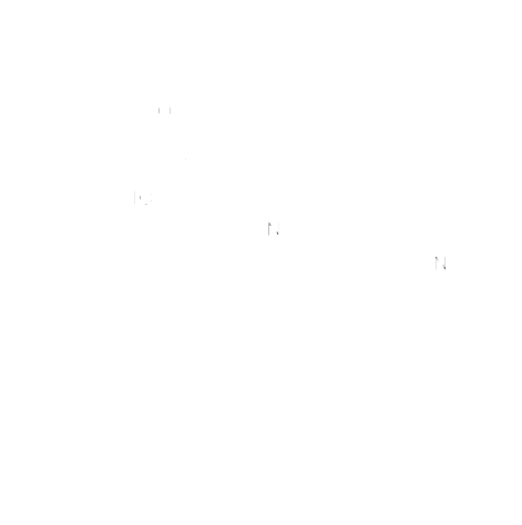 Cc1cccc2cccc(Cn3c(C(=O)O)ccc3-c3cccnc3)c12